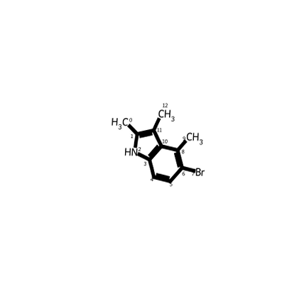 Cc1[nH]c2ccc(Br)c(C)c2c1C